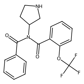 O=C(c1ccccc1)N(C(=O)c1ccccc1OC(F)(F)F)C1CCNC1